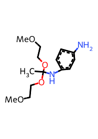 COCCOC(C)(Nc1ccc(N)cc1)OCCOC